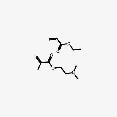 C=C(C)C(=O)OCCN(C)C.C=CC(=O)OCC